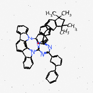 CC1(C)CC(C)(C)c2cc(-c3cccc(-n4c5ccccc5c5ccc6c7ccccc7n(-c7nc(-c8ccccc8)nc(-c8cccc(-c9ccccc9)c8)n7)c6c54)c3)ccc21